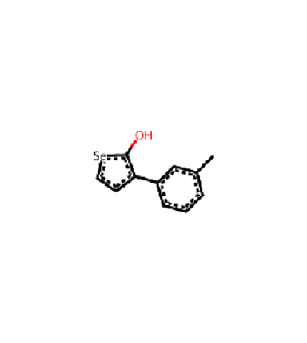 Cc1cccc(-c2cc[se]c2O)c1